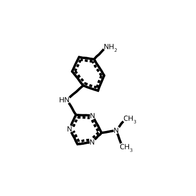 CN(C)c1ncnc(Nc2ccc(N)cc2)n1